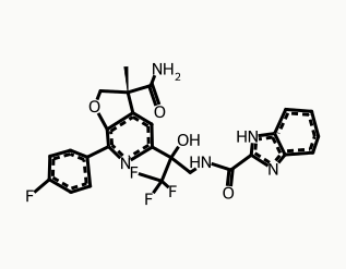 C[C@]1(C(N)=O)COc2c1cc(C(O)(CNC(=O)c1nc3ccccc3[nH]1)C(F)(F)F)nc2-c1ccc(F)cc1